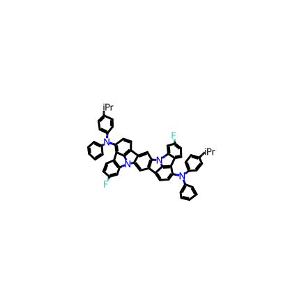 CC(C)c1ccc(N(c2ccccc2)c2ccc3c4cc5c(cc4n4c6cc(F)ccc6c2c34)c2ccc(N(c3ccccc3)c3ccc(C(C)C)cc3)c3c4ccc(F)cc4n5c23)cc1